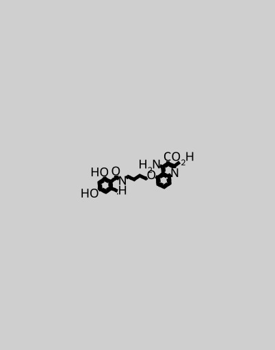 [CH2]c1cc(O)cc(O)c1C(=O)NCCCCOc1cccc2nc(C)c(C(=O)O)c(N)c12